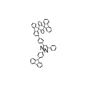 c1ccc(-c2cc(-c3ccc(-c4ccc5c(c4)C4(c6ccccc6-5)c5ccccc5C5(c6ccccc6-c6ccccc65)c5ccccc54)cc3)nc(-c3ccc(C4c5ccccc5-c5ccccc54)cc3)n2)cc1